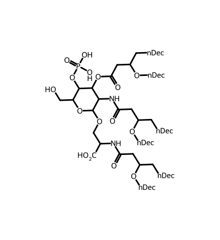 CCCCCCCCCCCC(CC(=O)NC(COC1OC(CO)C(OP(=O)(O)O)C(OC(=O)CC(CCCCCCCCCCC)OCCCCCCCCCC)C1NC(=O)CC(CCCCCCCCCCC)OCCCCCCCCCC)C(=O)O)OCCCCCCCCCC